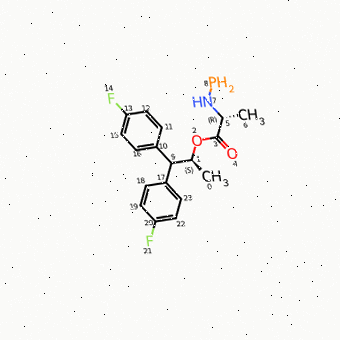 C[C@H](OC(=O)[C@@H](C)NP)C(c1ccc(F)cc1)c1ccc(F)cc1